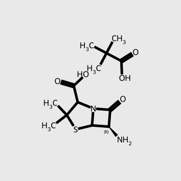 CC(C)(C)C(=O)O.CC1(C)SC2[C@H](N)C(=O)N2C1C(=O)O